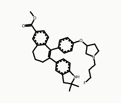 COC(=O)c1ccc2c(c1)CCCC(c1ccc3c(c1)CC(C)(C)N3)=C2c1ccc(OC2CCN(CCCF)C2)cc1